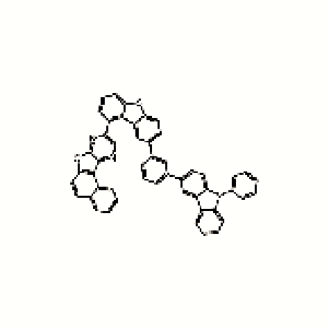 c1ccc(-n2c3ccccc3c3cc(-c4cccc(-c5ccc6sc7cccc(-c8cnc9c(n8)oc8ccc%10ccccc%10c89)c7c6c5)c4)ccc32)cc1